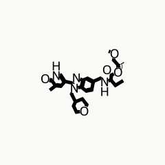 CCC(NCc1ccc2c(c1)nc(-c1c[nH]c(=O)c(C)c1)n2CC1CCOCC1)C(=O)O[C@@H](C)COC